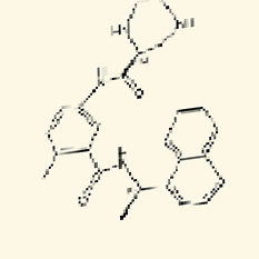 Cc1ccc(NC(=O)[C@@H]2CNCCN2)cc1C(=O)N[C@H](C)c1cccc2ccccc12